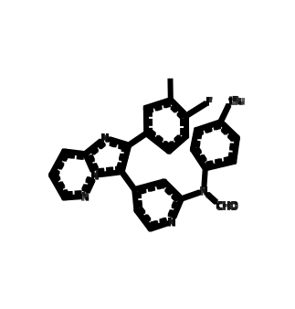 Cc1cc(-c2nc3cccnn3c2-c2ccnc(N(C=O)c3ccc(C(C)(C)C)cc3)c2)ccc1F